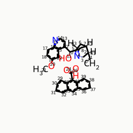 C=C[C@H]1C[N@]2CC[C@H]1C[C@H]2[C@H](O)c1ccnc2ccc(OC)cc12.O=C(O)c1c2ccccc2cc2ccccc12